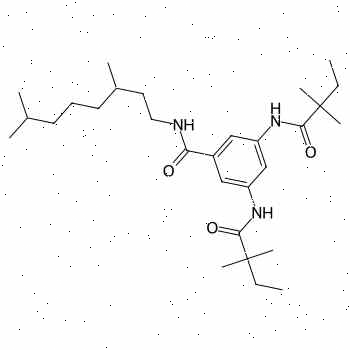 CCC(C)(C)C(=O)Nc1cc(NC(=O)C(C)(C)CC)cc(C(=O)NCCC(C)CCCC(C)C)c1